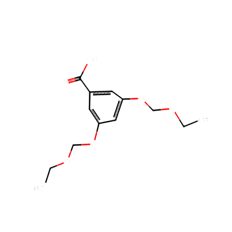 CCOCOc1cc(OCOCC)cc(C(=O)O)c1